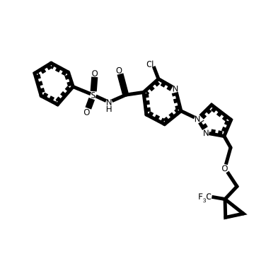 O=C(NS(=O)(=O)c1ccccc1)c1ccc(-n2ccc(COCC3(C(F)(F)F)CC3)n2)nc1Cl